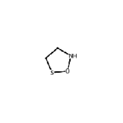 C1CSON1